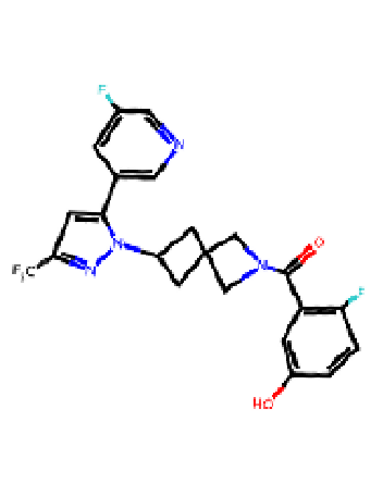 O=C(c1cc(O)ccc1F)N1CC2(CC(n3nc(C(F)(F)F)cc3-c3cncc(F)c3)C2)C1